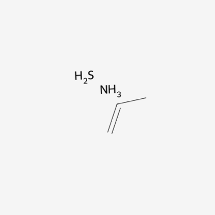 C=CC.N.S